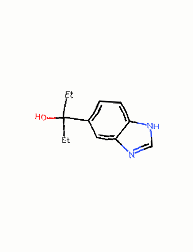 CCC(O)(CC)c1ccc2[nH]cnc2c1